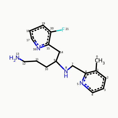 Cc1cccnc1CNC(CCCN)Cc1ncccc1F